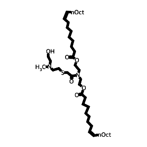 CCCCCCCC/C=C\CCCCCCCC(=O)OCCN(CCOC(=O)CCCCCCC/C=C\CCCCCCCC)C(=O)CSCCN(C)CCO